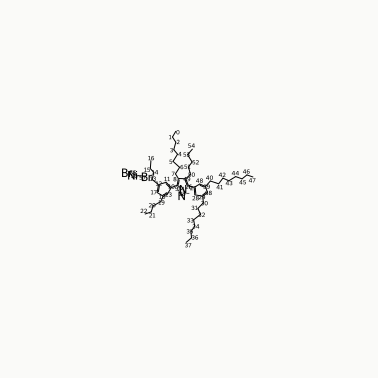 CCCCCCCCC1=C(c2cc(CCCC)cc(CCCC)c2)[N+](=[N-])C(c2cc(CCCCCCCC)cc(CCCCCCCC)c2)=C1CCCCC.[Br][Ni][Br]